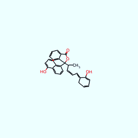 CC(/C=C\C=C1/CC=CC=C1O)C1(c2cccc3c(O)cccc23)OC(=O)c2ccccc21